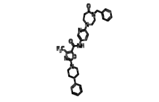 O=C(Nc1ccc(N2CCC(=O)N(Cc3ccccc3)CC2)nc1)c1oc(N2CCC(c3ccccc3)CC2)nc1C(F)(F)F